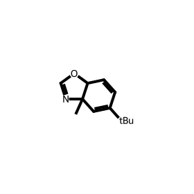 CC(C)(C)C1=CC2(C)N=COC2C=C1